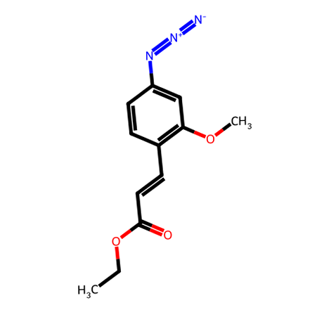 CCOC(=O)/C=C/c1ccc(N=[N+]=[N-])cc1OC